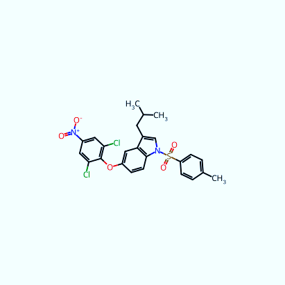 Cc1ccc(S(=O)(=O)n2cc(CC(C)C)c3cc(Oc4c(Cl)cc([N+](=O)[O-])cc4Cl)ccc32)cc1